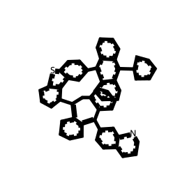 c1ccc(-c2c3ccccc3c(-c3ccc4sc5cccc(C6=c7ccccc7=C(c7ccc8cccnc8c7)c7ccccc7C6)c5c4c3)c3ccccc23)cc1